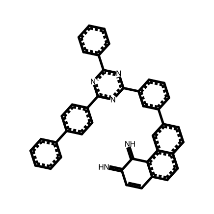 N=C1C=Cc2ccc3ccc(-c4cccc(-c5nc(-c6ccccc6)nc(-c6ccc(-c7ccccc7)cc6)n5)c4)cc3c2C1=N